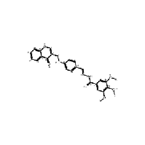 COc1cc(C(=O)N/N=C/c2ccc(OCc3coc4ccccc4c3=O)cc2)cc(OC)c1OC